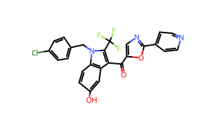 O=C(c1cnc(-c2ccncc2)o1)c1c(C(F)(F)F)n(Cc2ccc(Cl)cc2)c2ccc(O)cc12